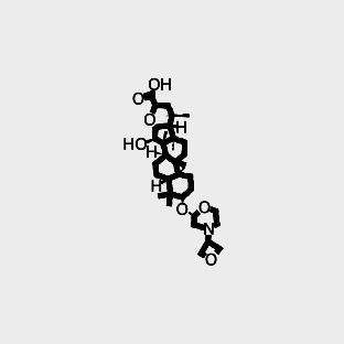 C[C@@H]1CC(C(=O)O)OC2[C@H]1[C@@]1(C)CCC34C[C@@]35CC[C@H](O[C@H]3CN(C6COC6)CCO3)C(C)(C)[C@@H]5CC[C@H]4[C@]1(C)[C@H]2O